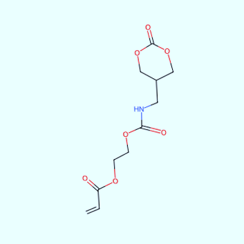 C=CC(=O)OCCOC(=O)NCC1COC(=O)OC1